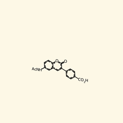 CC(=O)Nc1ccc2oc(=O)c(-c3ccc(C(=O)O)cc3)cc2c1